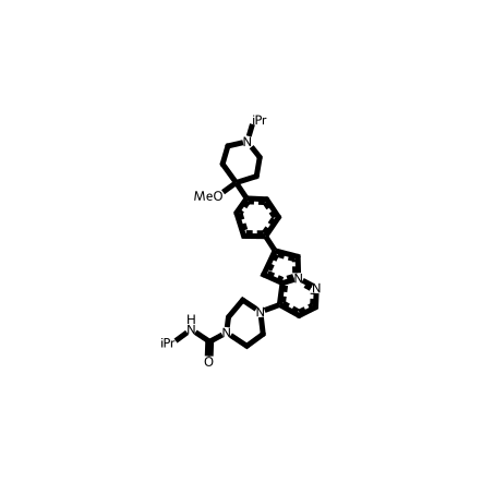 COC1(c2ccc(-c3cc4c(N5CCN(C(=O)NC(C)C)CC5)ccnn4c3)cc2)CCN(C(C)C)CC1